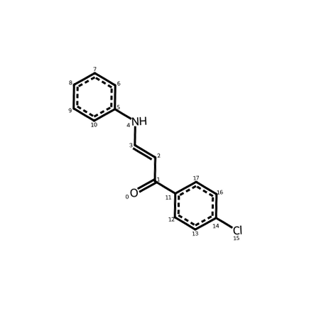 O=C(C=CNc1ccccc1)c1ccc(Cl)cc1